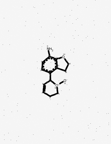 Nc1ccc(C2C=CCC[O+]2[O-])c2c1OCC2